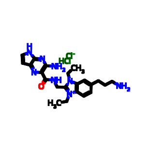 CCn1c(CNC(=O)c2nc3cc[nH]c3nc2N)[n+](CC)c2ccc(CCCN)cc21.Cl.[Cl-]